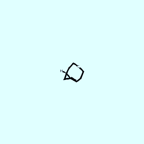 C1=C2C[C@@H]2CCCCC1